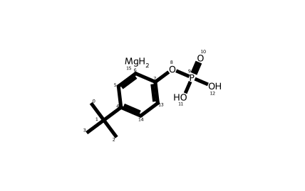 CC(C)(C)c1ccc(OP(=O)(O)O)cc1.[MgH2]